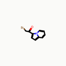 O=C(CBr)c1ccc2ccccn12